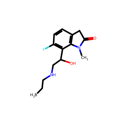 BCCNCC(O)c1c(F)ccc2c1N(C)C(=O)C2